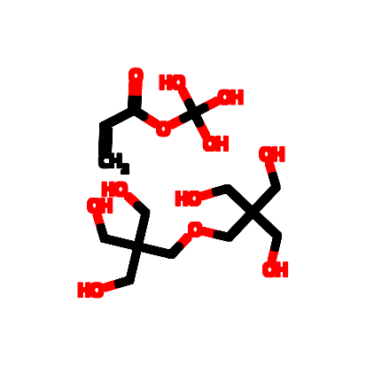 C=CC(=O)OC(O)(O)O.OCC(CO)(CO)COCC(CO)(CO)CO